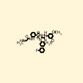 CNCC(=O)Nc1cccc(S(=O)(=O)Nc2nc3ccccc3nc2Nc2cc(OC)cc(OC)c2)c1.Fc1ccccc1